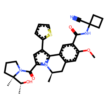 COc1cc2c(cc1C(=O)NC1(C#N)CCC1)-c1c(-c3cccs3)cc(C(=O)N3CCC[C@]3(C)[C@@H](C)O)n1[C@H](C)C2